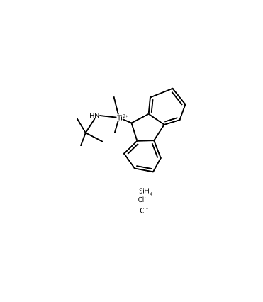 CC(C)(C)[NH][Ti+2]([CH3])([CH3])[CH]1c2ccccc2-c2ccccc21.[Cl-].[Cl-].[SiH4]